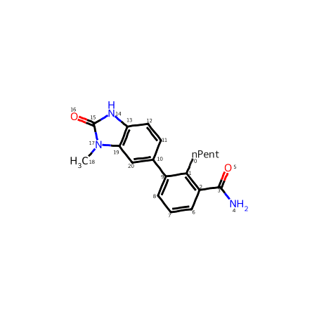 CCCCCc1c(C(N)=O)cccc1-c1ccc2[nH]c(=O)n(C)c2c1